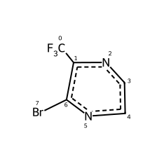 FC(F)(F)c1nccnc1Br